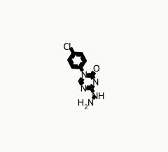 NNc1ncn(-c2ccc(Cl)cc2)c(=O)n1